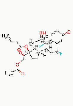 C=CCC(=O)O[C@]1(C(=O)COC(C)=O)CC[C@H]2[C@@H]3C[C@H](F)C4=CC(=O)C=C[C@]4(C)[C@@]3(F)[C@@H](O)C[C@@]21C